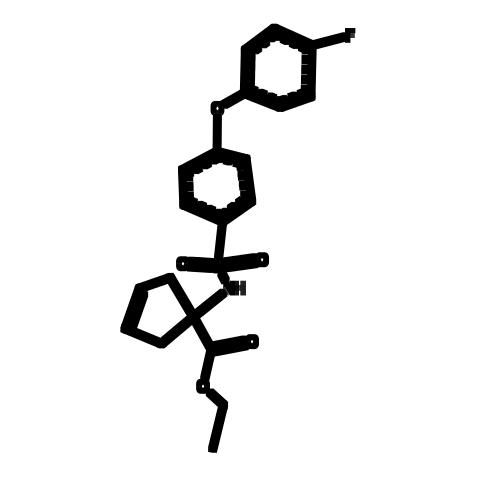 CCOC(=O)C1(NS(=O)(=O)c2ccc(Oc3ccc(F)cc3)cc2)CC=CC1